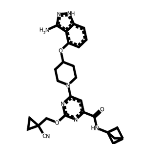 N#CC1(COc2nc(C(=O)NC34CC(C3)C4)cc(N3CCC(Oc4cccc5[nH]nc(N)c45)CC3)n2)CC1